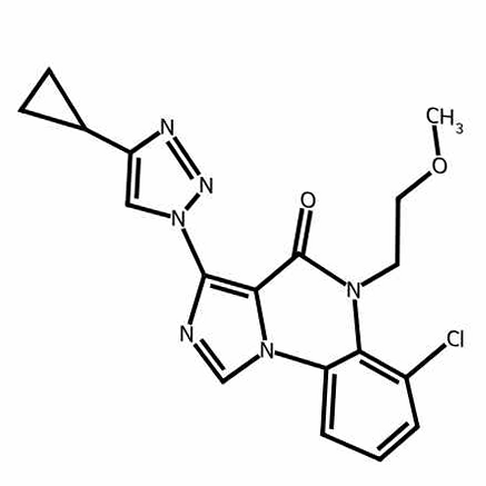 COCCn1c(=O)c2c(-n3cc(C4CC4)nn3)ncn2c2cccc(Cl)c21